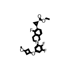 CCOC(=O)[C@H]1C[C@@H]1c1ccc2c(c1F)CCN(c1cc(OC3CC(OC)C3)cc(F)c1F)C2